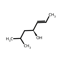 C/C=C/[C@@H](O)CC(C)C